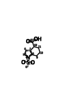 CS(=O)(=O)n1ccc2c1CCCC2C(=O)O